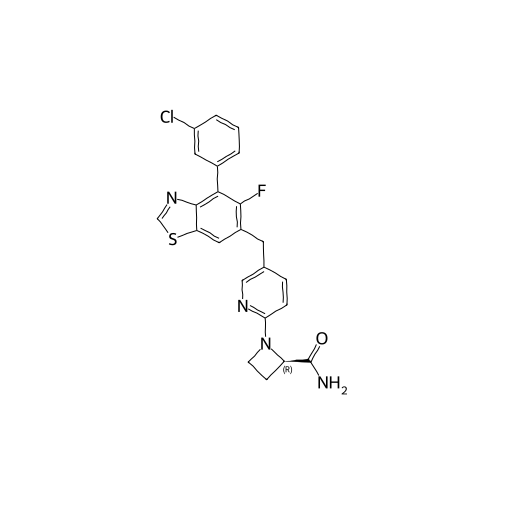 NC(=O)[C@H]1CCN1c1ccc(Cc2cc3scnc3c(-c3cccc(Cl)c3)c2F)cn1